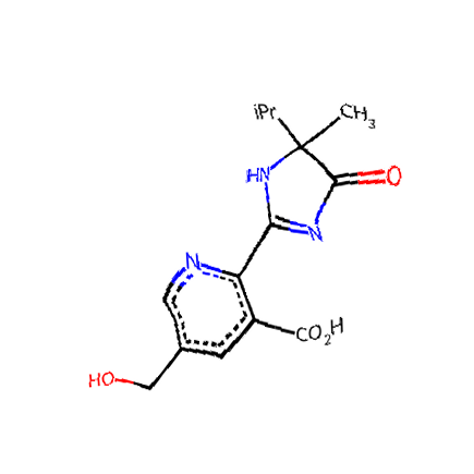 CC(C)C1(C)NC(c2ncc(CO)cc2C(=O)O)=NC1=O